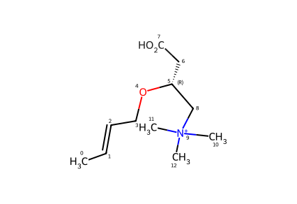 CC=CCO[C@H](CC(=O)O)C[N+](C)(C)C